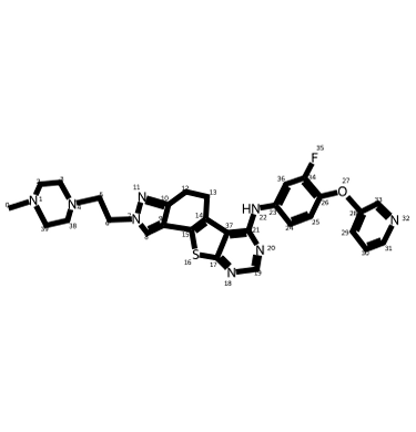 CN1CCN(CCn2cc3c(n2)CCc2c-3sc3ncnc(Nc4ccc(Oc5cccnc5)c(F)c4)c23)CC1